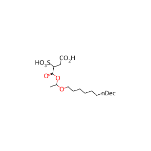 CCCCCCCCCCCCCCCCOC(C)OC(=O)C(CC(=O)O)S(=O)(=O)O